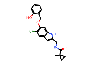 CC1(C(=O)NCc2cc3cc(Cl)c(OCc4ccccc4O)cc3[nH]2)CC1